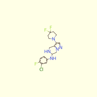 Fc1ccc(NC2Cn3ncc(N4CCC(F)(F)CC4)c3CN2)cc1Cl